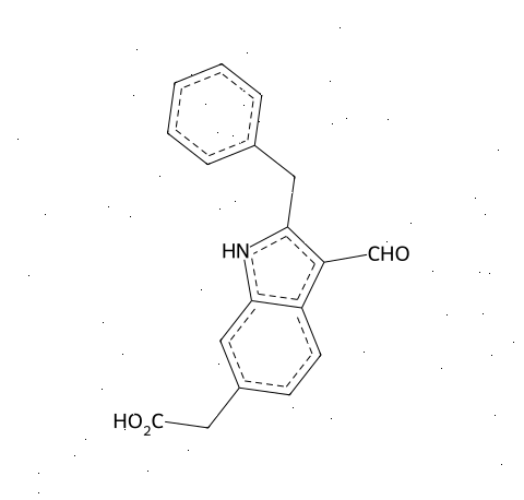 O=Cc1c(Cc2ccccc2)[nH]c2cc(CC(=O)O)ccc12